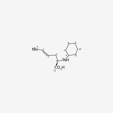 CC(C)(C)/C=C/C[C@@H](NC1CCCCC1)C(=O)O